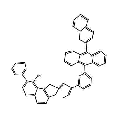 C/C=C(\C=C1/Cc2ccc3ccc(-c4ccccc4)c(S)c3c2C1)c1cccc(-c2c3ccccc3c(C3=CC=C4C=CC=CC4C3)c3ccccc23)c1